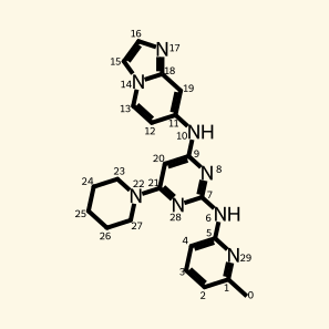 Cc1cccc(Nc2nc(Nc3ccn4ccnc4c3)cc(N3CCCCC3)n2)n1